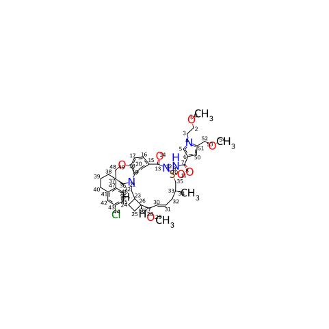 COCCn1cc(C(=O)NS2(=O)=NC(=O)c3ccc4c(c3)N(C[C@@H]3CC[C@H]3[C@@H](OC)/C=C/C[C@H](C)C2)C[C@@]2(CCCc3cc(Cl)ccc32)CO4)cc1COC